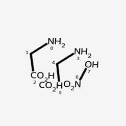 NCC(=O)O.NCC(=O)O.O=[N+]([O-])O